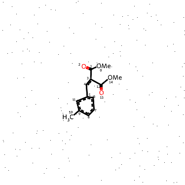 COC(=O)C(=Cc1[c]ccc(C)c1)C(=O)OC